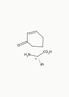 CC(C)[C@H](N)C(=O)O.O=C1C=CCCC1